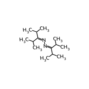 CC(C)C(=NN=C(C(C)C)C(C)C)C(C)C